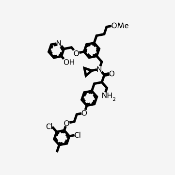 COCCCc1cc(CN(C(=O)C(CN)Cc2ccc(OCCOc3c(Cl)cc(C)cc3Cl)cc2)C2CC2)cc(OCc2ncccc2O)c1